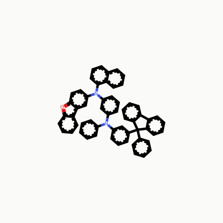 c1ccc(N(c2cccc(N(c3ccc4oc5ccccc5c4c3)c3cccc4ccccc34)c2)c2cccc(C3(c4ccccc4)c4ccccc4-c4ccccc43)c2)cc1